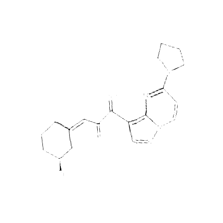 C[C@H]1CCC/C(=C/C(=O)C(=N)c2cnn3ccc(N4CCCC4)nc23)C1